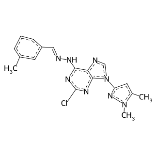 Cc1cccc(C=NNc2nc(Cl)nc3c2ncn3-c2cc(C)n(C)n2)c1